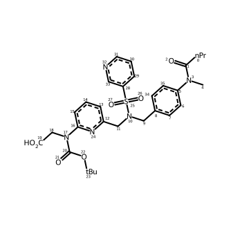 CCCC(=O)N(C)c1ccc(CN(Cc2cccc(N(CC(=O)O)C(=O)OC(C)(C)C)n2)S(=O)(=O)c2cccnc2)cc1